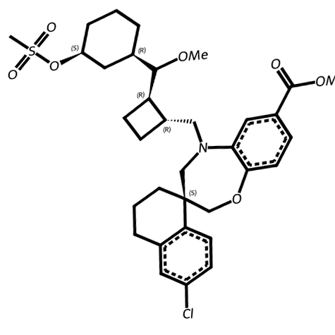 COC(=O)c1ccc2c(c1)N(C[C@@H]1CC[C@H]1C(OC)[C@@H]1CCC[C@H](OS(C)(=O)=O)C1)C[C@@]1(CCCc3cc(Cl)ccc31)CO2